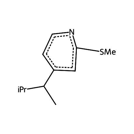 CSc1cc(C(C)C(C)C)ccn1